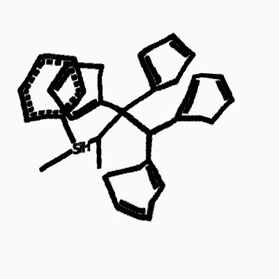 CC([SiH](C)c1ccccc1)C([C](C1=CC=CC1)C1=CC=CC1)(C1=CC=CC1)C1=CC=CC1